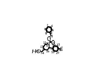 O=C(OCc1ccccc1)N1CCC(CO)CC1c1ccc(F)cc1